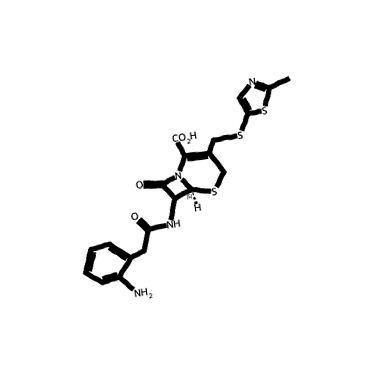 Cc1ncc(SCC2=C(C(=O)O)N3C(=O)C(NC(=O)Cc4ccccc4N)[C@@H]3SC2)s1